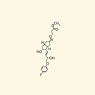 COC(=O)CCO/N=C1\C[C@H]2C[C@@H](O)[C@H](C=CC(O)COc3ccc(F)cc3)[C@@H]2C1